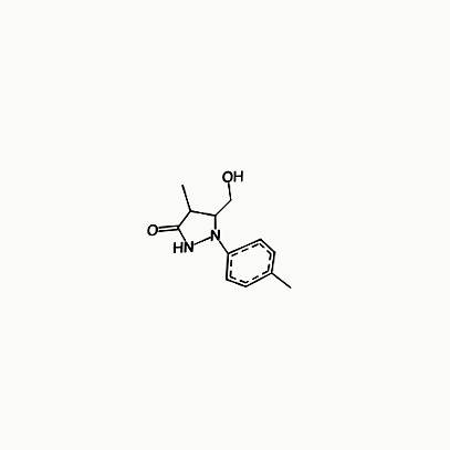 Cc1ccc(N2NC(=O)C(C)C2CO)cc1